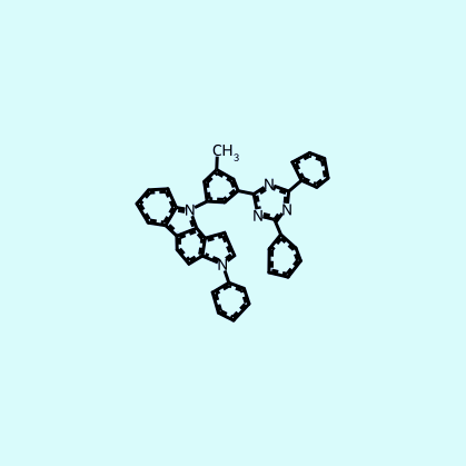 Cc1cc(-c2nc(-c3ccccc3)nc(-c3ccccc3)n2)cc(-n2c3ccccc3c3ccc4c(ccn4-c4ccccc4)c32)c1